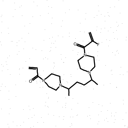 C=CC(=O)N1CCN(C(C)CCC(C)N2CCN(C(=O)C(=C)F)CC2)CC1